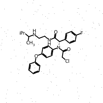 CC(C)C(C)NCCNC(=O)[C@H](c1ccc(F)cc1)N(C(=O)CCl)c1ccc(Oc2ccccc2)cc1